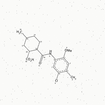 COc1cc(C)c(Cl)cc1NC(=O)C1CCC(C)CC1C(=O)O